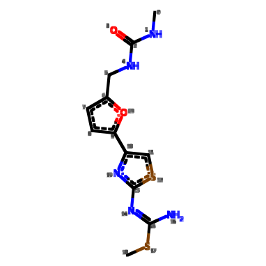 CNC(=O)NCc1ccc(-c2csc(/N=C(\N)SC)n2)o1